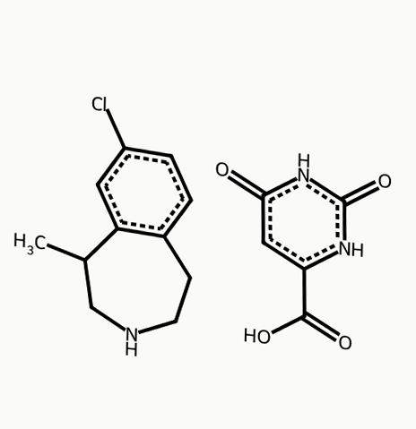 CC1CNCCc2ccc(Cl)cc21.O=C(O)c1cc(=O)[nH]c(=O)[nH]1